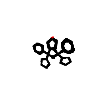 c1ccc([Si](O[Si](c2ccccc2)(C2CCCC2)C2CCCC2)(C2CCCC2)C2CCCC2)cc1